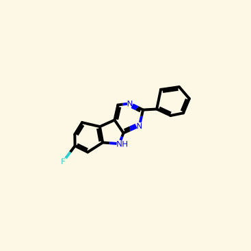 Fc1ccc2c(c1)[nH]c1nc(-c3ccccc3)ncc12